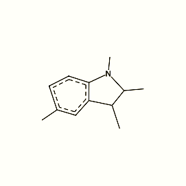 Cc1ccc2c(c1)C(C)C(C)N2C